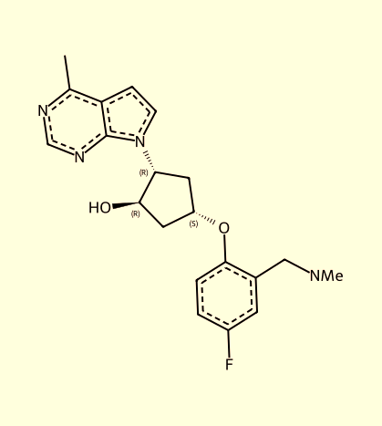 CNCc1cc(F)ccc1O[C@@H]1C[C@@H](O)[C@H](n2ccc3c(C)ncnc32)C1